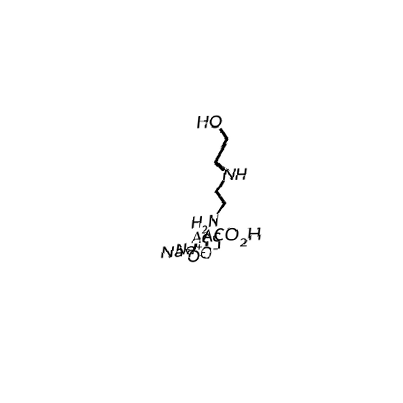 CC(=O)O.CC(=O)[O-].CC(=O)[O-].NCCNCCO.[Na+].[Na+]